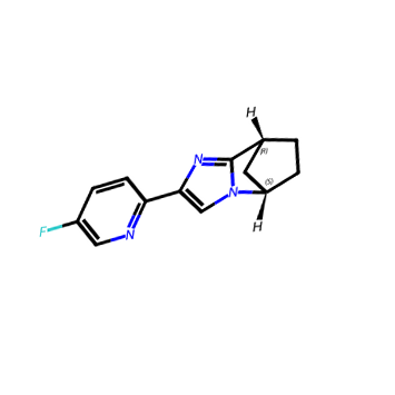 Fc1ccc(-c2cn3c(n2)[C@@H]2CC[C@H]3C2)nc1